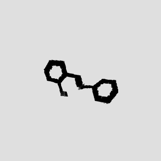 Sc1ccccc1/C=N/c1ccccc1